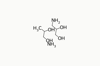 CC(O)CO.N.NCC(O)CO